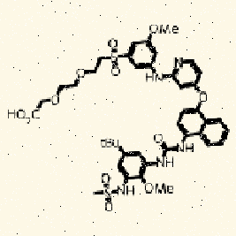 COc1cc(Nc2cc(Oc3ccc(NC(=O)Nc4cc(C(C)(C)C)cc(NS(C)(=O)=O)c4OC)c4ccccc34)ccn2)cc(S(=O)(=O)CCOCCOCC(=O)O)c1